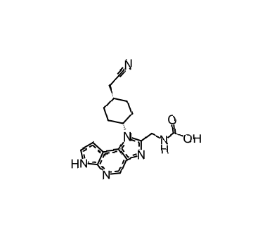 N#CC[C@H]1CC[C@H](n2c(CNC(=O)O)nc3cnc4[nH]ccc4c32)CC1